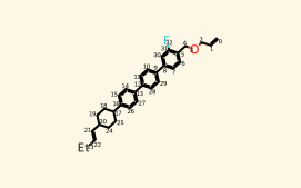 C=CCOCc1ccc(-c2ccc(-c3ccc(C4CCC(/C=C/CC)CC4)cc3)cc2)cc1F